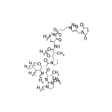 CC[C@H](C)[C@@H]([C@@H](CC(=O)N1CCC[C@H]1[C@H](OC)[C@@H](C)C(=O)N[C@@H](CP)C(=O)NS(=O)(=O)CCCn1cc(CN2C(=O)C=CC2=O)nn1)OC)N(C)C(=O)[C@@H](N=C1N(C)CCN1C)C(C)C